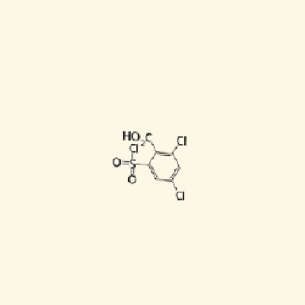 O=C(O)c1c(Cl)cc(Cl)cc1S(=O)(=O)Cl